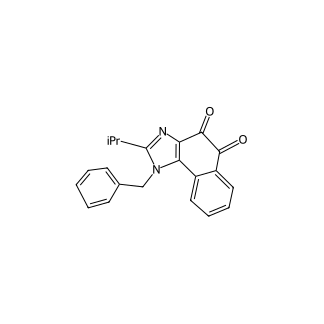 CC(C)c1nc2c(n1Cc1ccccc1)-c1ccccc1C(=O)C2=O